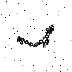 Cc1cc(-c2cc(Nc3cccc(N4CCN(CC5CCN(c6ccc(N7CCC(=O)NC7=O)cc6)CC5)CC4)c3)ncn2)c(F)cc1[C@@H](C)NC(=O)c1nc(C(C)(C)C)no1